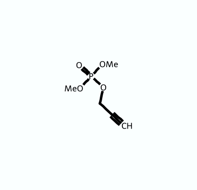 C#CCOP(=O)(OC)OC